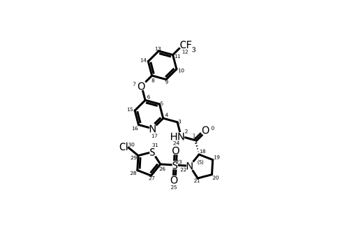 O=C(NCc1cc(Oc2ccc(C(F)(F)F)cc2)ccn1)[C@@H]1CCCN1S(=O)(=O)c1ccc(Cl)s1